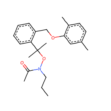 CCCN(OC(C)(C)c1ccccc1COc1cc(C)ccc1C)C(C)=O